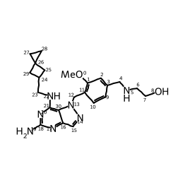 COc1cc(CNCCO)ccc1Cn1ncc2nc(N)nc(NCC3CC4(CC4)C3)c21